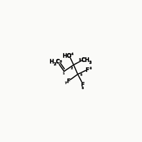 C=CC(C)(O)C(F)(F)F